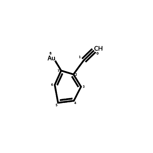 C#Cc1cccc[c]1[Au]